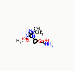 COC(=O)Nc1cc(-c2cccc(OCC(O)CN)c2)nc2c1cnn2C(C)C